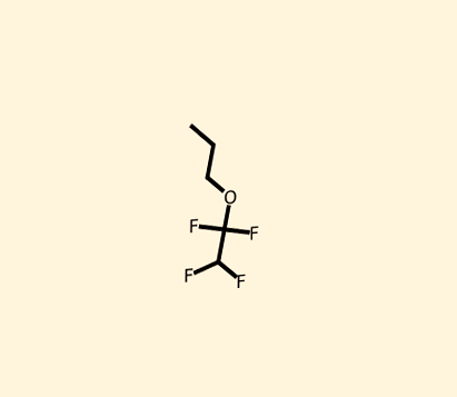 CCCOC(F)(F)C(F)F